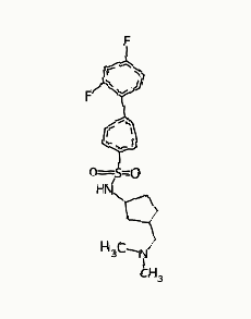 CN(C)CC1CCC(NS(=O)(=O)c2ccc(-c3ccc(F)cc3F)cc2)C1